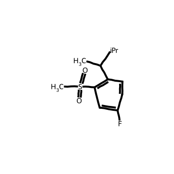 CC(C)C(C)c1ccc(F)cc1S(C)(=O)=O